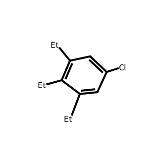 CCc1cc(Cl)cc(CC)c1CC